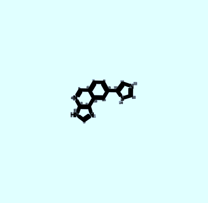 c1nc2c(ncc3ccc(-c4cncs4)cc32)[nH]1